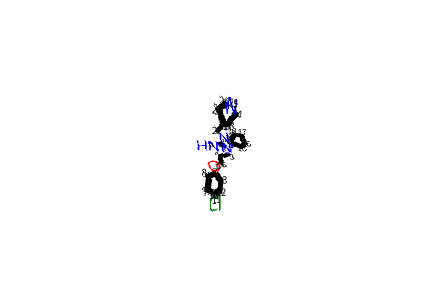 N=c1n(CCCOc2ccc(Cl)cc2)c2ccccc2n1Cc1ccncc1